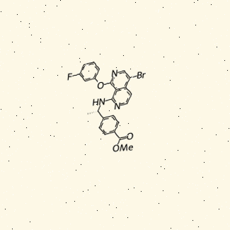 COC(=O)c1ccc([C@H](C)Nc2nccc3c(Br)cnc(Oc4cccc(F)c4)c23)cc1